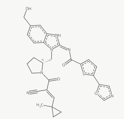 CC1(C=C(C#N)C(=O)N2CCC[C@@H]2Cn2c(=NC(=O)c3ccc(-c4cnco4)s3)[nH]c3cc(CO)ccc32)CC1